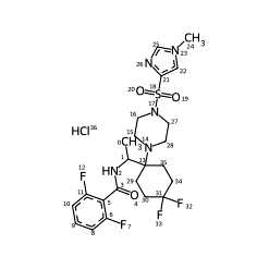 CC(NC(=O)c1c(F)cccc1F)C1(N2CCN(S(=O)(=O)c3cn(C)cn3)CC2)CCC(F)(F)CC1.Cl